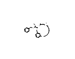 C[C@H]1C(=O)N[C@H]([C@H](CO)NCc2ccccc2)Cc2cccc(c2)OCCCCCC(=O)N1C